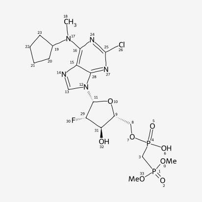 COP(=O)(CP(=O)(O)OC[C@H]1O[C@@H](n2cnc3c(N(C)C4CCCC4)nc(Cl)nc32)[C@@H](F)[C@@H]1O)OC